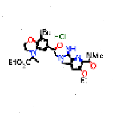 CCOC(=O)C(C)N1CCOc2c1cc(C(=O)CN1Cc3cc(OCC)c(C(=O)NC)nc3C1=N)cc2C(C)(C)C.Cl